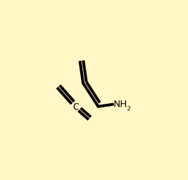 C=C=C.C=C=CN